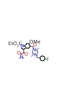 CCOC(=O)n1cc(C(=O)C(=O)N(C)C)c2cc(C(=O)N3C[C@H](C)N(Cc4ccc(F)cc4)C[C@@H]3C)c(OC)cc21